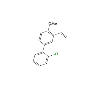 C=Cc1cc(-c2ccccc2Cl)ccc1OC